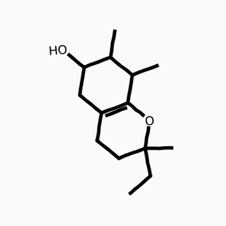 CCC1(C)CCC2=C(O1)C(C)C(C)C(O)C2